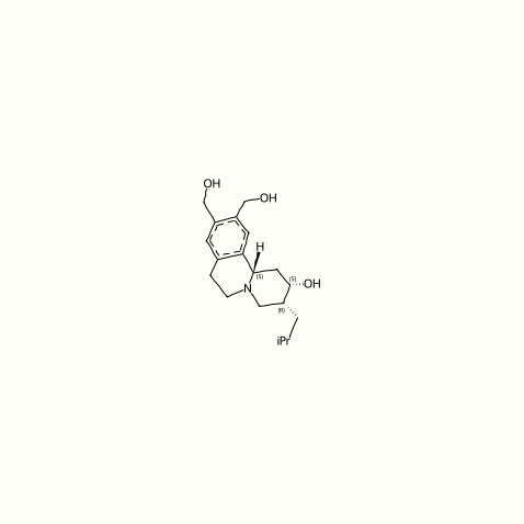 CC(C)C[C@@H]1CN2CCc3cc(CO)c(CO)cc3[C@@H]2C[C@@H]1O